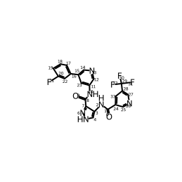 O=C(Nc1c[nH]nc1C(=O)Nc1cncc(-c2cccc(F)c2)c1)c1cncc(C(F)(F)F)c1